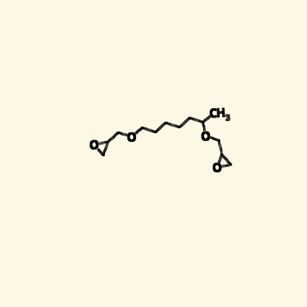 CC(CCCCCOCC1CO1)OCC1CO1